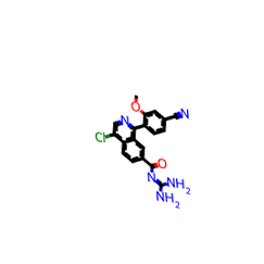 COc1cc(C#N)ccc1-c1ncc(Cl)c2ccc(C(=O)N=C(N)N)cc12